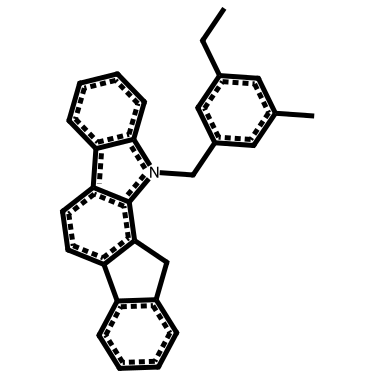 CCc1cc(C)cc(Cn2c3ccccc3c3ccc4c(c32)Cc2ccccc2-4)c1